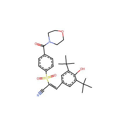 CC(C)(C)c1cc(C=C(C#N)S(=O)(=O)c2ccc(C(=O)N3CCOCC3)cc2)cc(C(C)(C)C)c1O